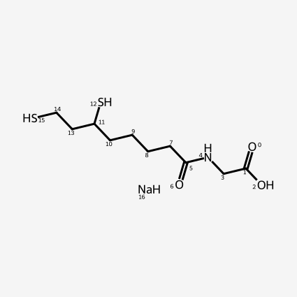 O=C(O)CNC(=O)CCCCC(S)CCS.[NaH]